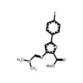 COC(=O)c1sc(-c2ccc(F)cc2)cc1N=CN(C)C